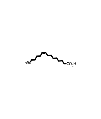 CCCC/C=C/C=C/C=C\CCCCCCCC(=O)O